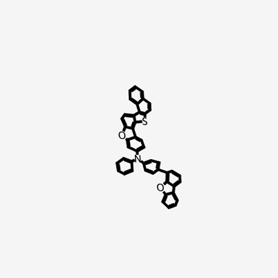 c1ccc(N(c2ccc(-c3cccc4c3oc3ccccc34)cc2)c2ccc3c(c2)oc2ccc4c(sc5ccc6ccccc6c54)c23)cc1